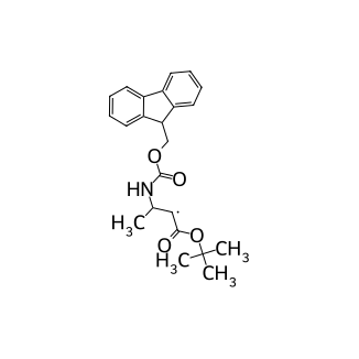 CC([CH]C(=O)OC(C)(C)C)NC(=O)OCC1c2ccccc2-c2ccccc21